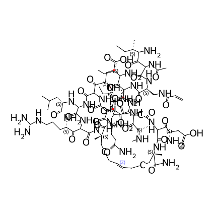 C=CC(=O)NC[C@H](NC(=O)C(NC(C)=O)C(=O)C(N)[C@@H](C)CC)C(=O)NC(C(=O)NC(CC(=O)[C@H](C)NC)C(=O)NC(C(=O)NC(C(=O)NC(N[C@H](C=O)CC(C)C)C(=O)NC(C(=O)N[C@@]1(C)CCC/C=C\CCC[C@@](C)(C(N)=O)NC(=O)C(C(=O)[C@@H](N)CC(=O)O)NC(=O)CNC(=O)C(C(=O)C(N)[C@@H](C)CC)NC1=O)C(=O)[C@@H](N)CCCNC(N)N)C(=O)[C@@H](N)CCC(=O)O)C(=O)[C@@H](N)CCC(N)=O)C(=O)C(N)[C@@H](C)CC